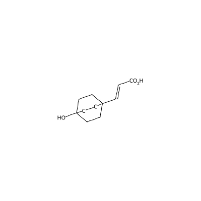 O=C(O)C=CC12CCC(O)(CC1)CC2